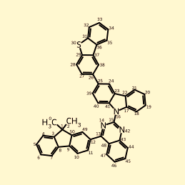 CC1(C)c2ccccc2-c2ccc(-c3nc(-n4c5ccccc5c5cc(-c6ccc7sc8ccccc8c7c6)ccc54)nc4ccccc34)cc21